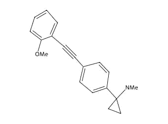 CNC1(c2ccc(C#Cc3ccccc3OC)cc2)CC1